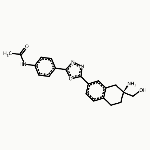 CC(=O)Nc1ccc(-c2nnc(-c3ccc4c(c3)C[C@](N)(CO)CC4)o2)cc1